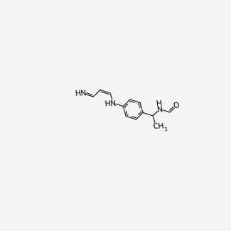 CC(NC=O)c1ccc(N/C=C\C=N)cc1